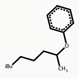 CCC(C)CCCC(C)Oc1ccccc1